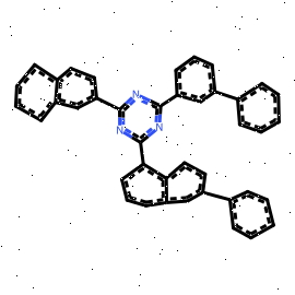 c1ccc(-c2cccc(-c3nc(-c4ccc5ccccc5c4)nc(-c4cccc5cc(-c6ccccc6)ccc45)n3)c2)cc1